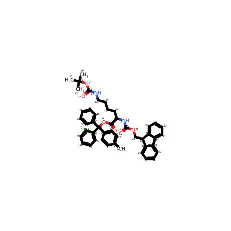 Cc1ccc(C(OC(=O)C(CCCCNC(=O)OC(C)(C)C)NC(=O)OCC2c3ccccc3-c3ccccc32)(c2ccccc2)c2ccccc2Cl)cc1